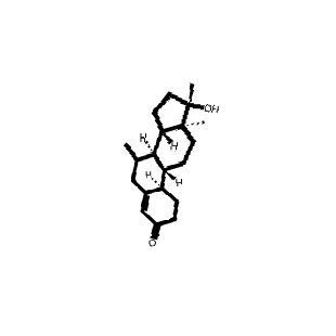 CC1CC2=CC(=O)CC[C@@H]2[C@H]2CC[C@@]3(C)[C@@H](CC[C@]3(C)O)[C@H]12